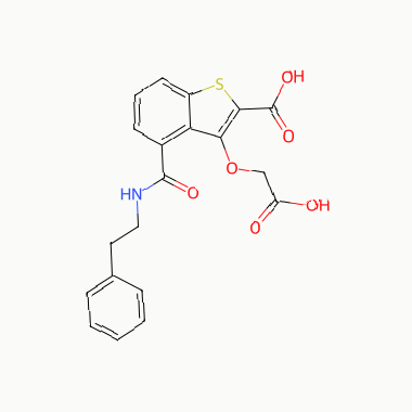 O=C(O)COc1c(C(=O)O)sc2cccc(C(=O)NCCc3ccccc3)c12